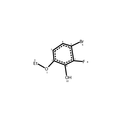 CCOc1ccc(Br)c(F)c1O